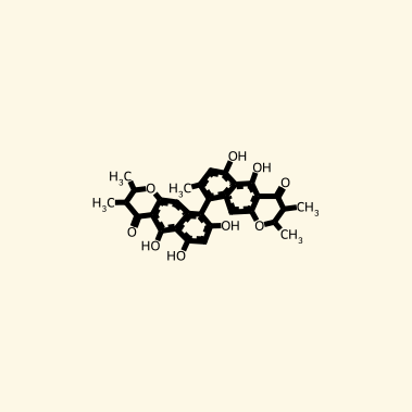 Cc1cc(O)c2c(O)c3c(cc2c1-c1c(O)cc(O)c2c(O)c4c(cc12)OC(C)C(C)C4=O)OC(C)C(C)C3=O